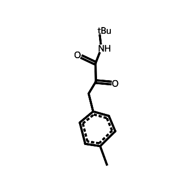 Cc1ccc(CC(=O)C(=O)NC(C)(C)C)cc1